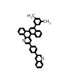 Cc1cc(C)cc(-c2cc3c4ccccc4c4ncc(-c5ccc(-c6cnc7ccccc7c6)cc5)cc4c3c3ccccc23)c1